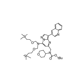 CC(C)(C)OC(=O)N(Cc1cc(N(COCC[Si](C)(C)C)COCC[Si](C)(C)C)n2ncc(-c3cnc4ccccc4c3)c2n1)C1CCOCC1